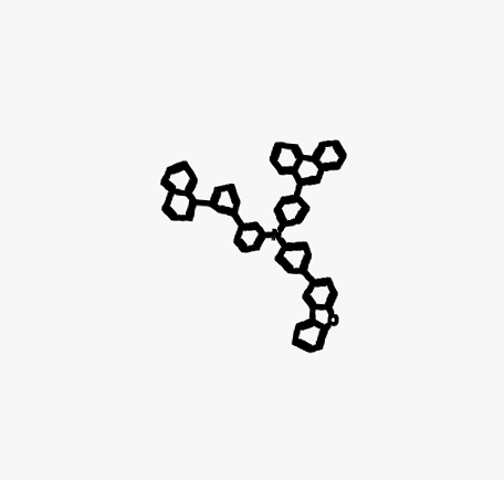 c1cc(-c2cccc(N(c3ccc(-c4ccc5oc6ccccc6c5c4)cc3)c3ccc(-c4cc5ccccc5c5ccccc45)cc3)c2)cc(-c2cccc3ccccc23)c1